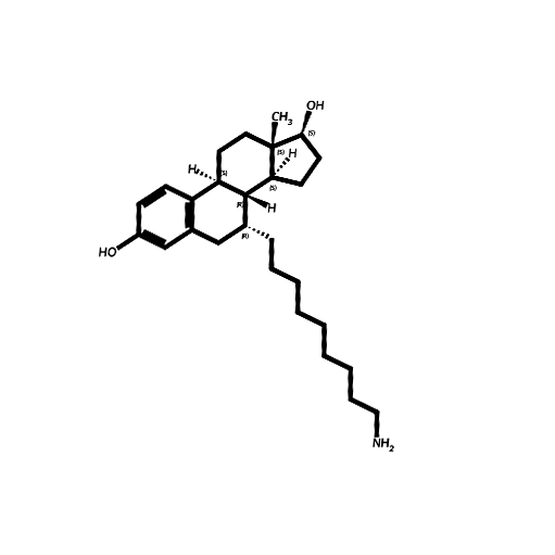 C[C@]12CC[C@@H]3c4ccc(O)cc4C[C@@H](CCCCCCCCCN)[C@H]3[C@@H]1CC[C@@H]2O